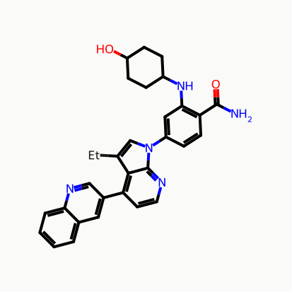 CCc1cn(-c2ccc(C(N)=O)c(NC3CCC(O)CC3)c2)c2nccc(-c3cnc4ccccc4c3)c12